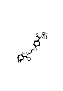 O=C(NCCOc1ccc(C(=S)NO)cc1)c1cccnc1